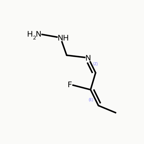 C/C=C(F)\C=N/CNN